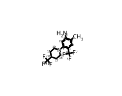 Cc1cc(C(F)(F)F)c(N2CCC(C(F)(F)F)CC2)cc1N